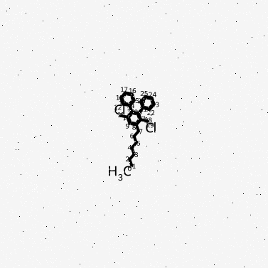 CCCCCCCCc1cc(CCl)c(-c2ccccc2)c(-c2ccccc2)c1CCl